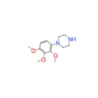 COc1ccc(N2CCNCC2)c(OC)c1OC